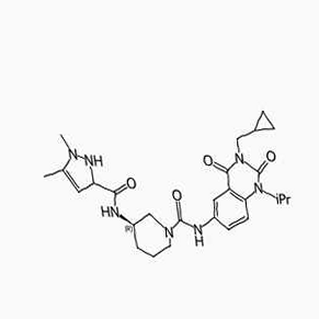 CC1=CC(C(=O)N[C@@H]2CCCN(C(=O)Nc3ccc4c(c3)c(=O)n(CC3CC3)c(=O)n4C(C)C)C2)NN1C